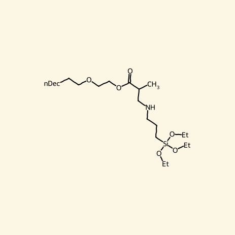 CCCCCCCCCCCCOCCOC(=O)C(C)CNCCC[Si](OCC)(OCC)OCC